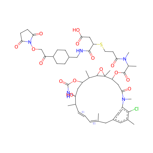 C/C1=C\C=C\C(C)C2(O)CC(OC(=O)N2)C(C)C2OC2(C)C(OC(=O)C(C)N(C)C(=O)CCSC(CC(=O)O)C(=O)NCC2CCC(C(=O)CON3C(=O)CCC3=O)CC2)CC(=O)N(C)c2cc(cc(C)c2Cl)C1